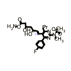 CC(C)c1nc(N(C)S(C)(=O)=O)nc(-c2ccc(F)cc2)c1/C=C/[C@@H](O)C[C@@H](O)CC(=O)ON